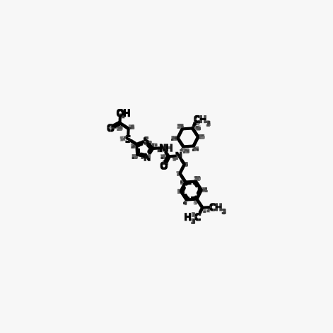 CC(C)c1ccc(CCN(C(=O)Nc2ncc(SCC(=O)O)s2)[C@H]2CC[C@H](C)CC2)cc1